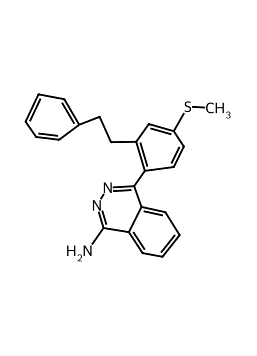 CSc1ccc(-c2nnc(N)c3ccccc23)c(CCc2ccccc2)c1